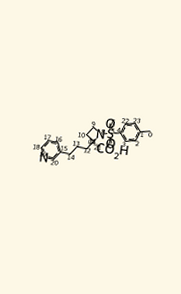 Cc1ccc(S(=O)(=O)N2CC[C@@]2(CCCc2cccnc2)C(=O)O)cc1